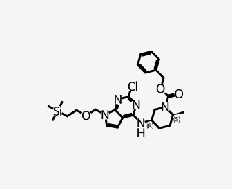 C[C@H]1CC[C@@H](Nc2nc(Cl)nc3c2ccn3COCC[Si](C)(C)C)CN1C(=O)OCc1ccccc1